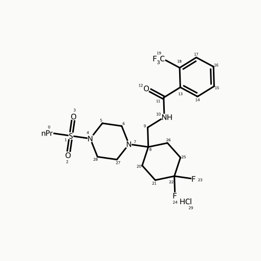 CCCS(=O)(=O)N1CCN(C2(CNC(=O)c3ccccc3C(F)(F)F)CCC(F)(F)CC2)CC1.Cl